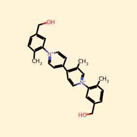 Cc1c[n+](-c2cc(CO)ccc2C)ccc1-c1cc[n+](-c2cc(CO)ccc2C)cc1